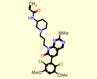 C=CC(=O)NC1CCCN(CCCn2c(=O)c(-c3c(Cl)c(OC)cc(OC)c3Cl)cc3cnc(NC)nc32)C1